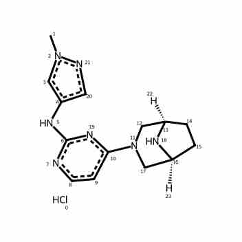 Cl.Cn1cc(Nc2nccc(N3C[C@H]4CC[C@@H](C3)N4)n2)cn1